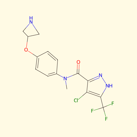 CN(C(=O)c1n[nH]c(C(F)(F)F)c1Cl)c1ccc(OC2CNC2)cc1